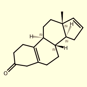 C[C@@]12C=CC[C@H]1[C@@H]1CCC3=C(CCC(=O)C3)[C@H]1CC2